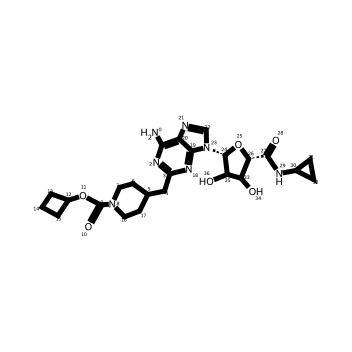 Nc1nc(CC2CCN(C(=O)OC3CCC3)CC2)nc2c1ncn2[C@@H]1O[C@H](C(=O)NC2CC2)C(O)C1O